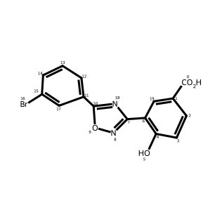 O=C(O)c1ccc(O)c(-c2noc(-c3cccc(Br)c3)n2)c1